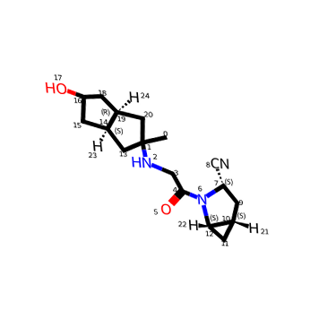 CC1(NCC(=O)N2[C@H](C#N)C[C@@H]3C[C@@H]32)C[C@H]2CC(O)C[C@H]2C1